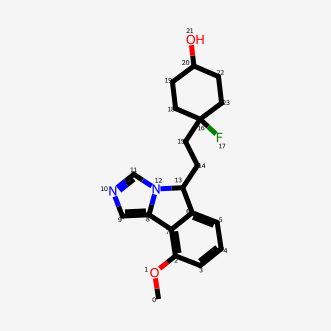 COc1cccc2c1-c1cncn1C2CCC1(F)CCC(O)CC1